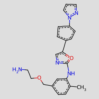 Cc1ccc(COCCN)cc1Nc1ncc(-c2ccc(-n3cccn3)cc2)o1